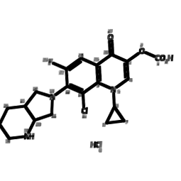 Cl.O=C(O)Oc1cn(C2CC2)c2c(Cl)c(N3CC4CCCNC4C3)c(F)cc2c1=O